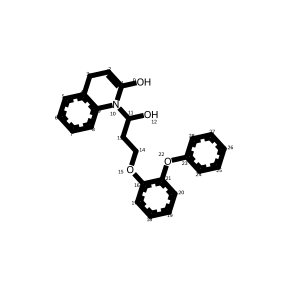 OC1=[C]Cc2ccccc2N1C(O)CCOc1ccccc1Oc1ccccc1